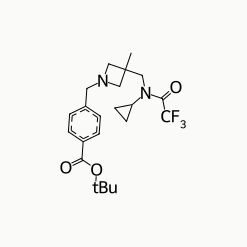 CC1(CN(C(=O)C(F)(F)F)C2CC2)CN(Cc2ccc(C(=O)OC(C)(C)C)cc2)C1